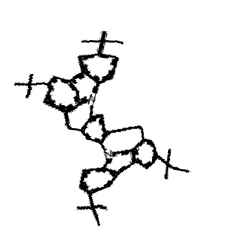 CC(C)(C)c1ccc2c(c1)c1cc(C(C)(C)C)cc3c1n2-c1cc2c(cc1C3)-n1c3ccc(C(C)(C)C)cc3c3cc(C(C)(C)C)cc(c31)C2